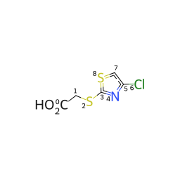 O=C(O)CSc1nc(Cl)cs1